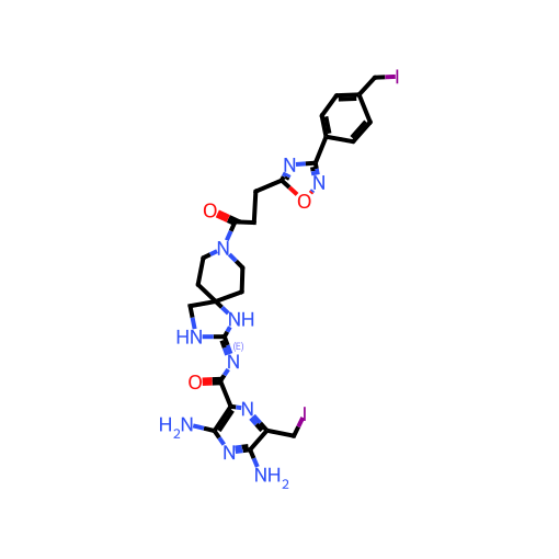 Nc1nc(N)c(C(=O)/N=C2\NCC3(CCN(C(=O)CCc4nc(-c5ccc(CI)cc5)no4)CC3)N2)nc1CI